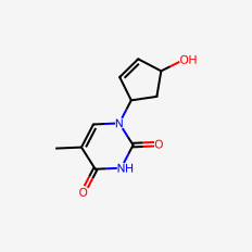 Cc1cn(C2C=CC(O)C2)c(=O)[nH]c1=O